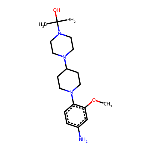 BC(B)(O)N1CCN(C2CCN(c3ccc(N)cc3OC)CC2)CC1